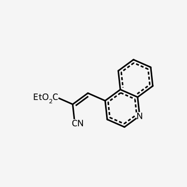 CCOC(=O)C(C#N)=Cc1ccnc2ccccc12